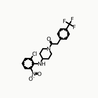 O=C(Cc1ccc(C(F)(F)F)cc1)N1CCC(Nc2c(Cl)cccc2[N+](=O)[O-])CC1